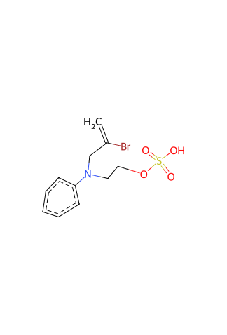 C=C(Br)CN(CCOS(=O)(=O)O)c1ccccc1